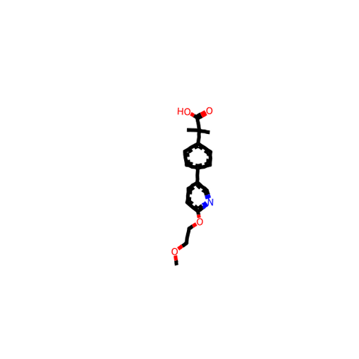 COCCOc1ccc(-c2ccc(C(C)(C)C(=O)O)cc2)cn1